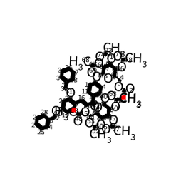 CC(=O)OC[C@H]1OC(Oc2ccc(C(=O)C=Cc3ccc(OCc4ccccc4)cc3OCc3ccccc3)c(OC3O[C@H](COC(C)=O)[C@@H](OC(C)=O)[C@H](OC(C)=O)[C@H]3OC(C)=O)c2)[C@H](OC(C)=O)[C@@H](OC(C)=O)[C@@H]1OC(C)=O